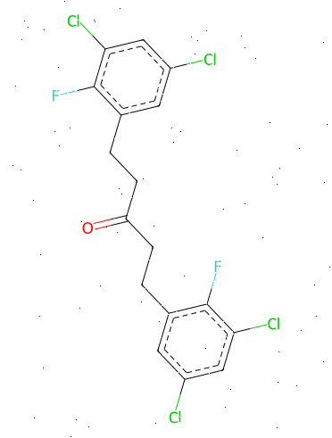 O=C(CCc1cc(Cl)cc(Cl)c1F)CCc1cc(Cl)cc(Cl)c1F